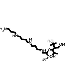 CC(C)OC(CNCCCNCCCCNCCCN)OC(C(C)O)C(CO)C(C)(C)O